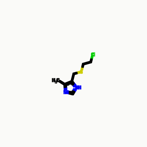 Cc1nc[nH]c1CSCCCl